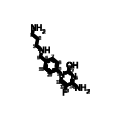 NCCCNCc1ccc(N2C=C(F)C(N)=NC2O)cc1